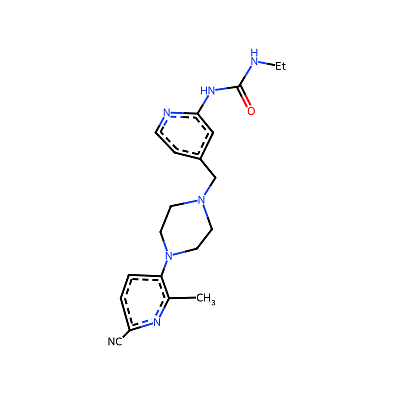 CCNC(=O)Nc1cc(CN2CCN(c3ccc(C#N)nc3C)CC2)ccn1